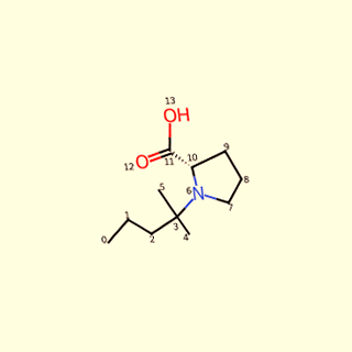 CCCC(C)(C)N1CCC[C@H]1C(=O)O